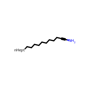 CCCCCCCCCCCCCCCCC#CN